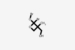 CC1(CO)COC1(Br)OBr